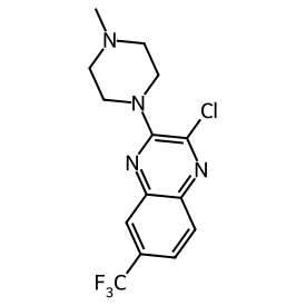 CN1CCN(c2nc3cc(C(F)(F)F)ccc3nc2Cl)CC1